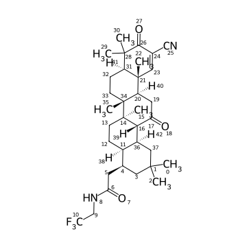 CC1(C)C[C@@H](CC(=O)NCC(F)(F)F)[C@H]2CC[C@]3(C)[C@H](C(=O)C[C@@H]4[C@@]5(C)C=C(C#N)C(=O)C(C)(C)[C@@H]5CC[C@]43C)[C@H]2C1